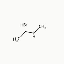 Br.CCPC